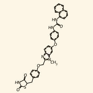 Cn1c(COc2ccc(CC3SC(=O)NC3=O)cc2)nc2ccc(Oc3ccc(NC(=O)Nc4cccc5ccccc45)cc3)cc21